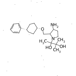 CC(C)(O)C(C)(O)N1CCC(N)C1CO[C@H]1CC[C@@H](c2ccccc2)CC1